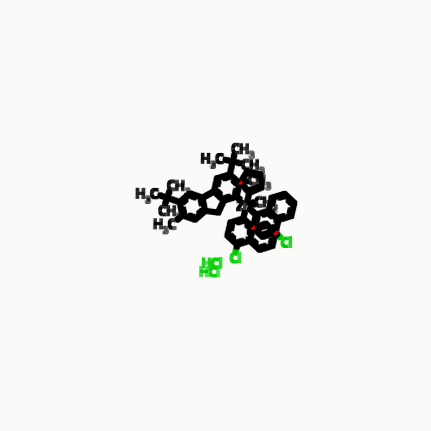 Cl.Cl.[CH2]=[Zr]([C]1=CC=CC1)([c]1c(C)c(C(C)(C)C)cc2c1Cc1cc(C)c(C(C)(C)C)cc1-2)([c]1ccc(Cl)c2ccccc12)[c]1ccc(Cl)c2ccccc12